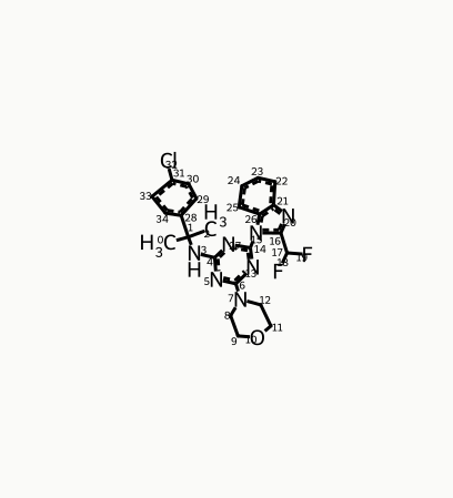 CC(C)(Nc1nc(N2CCOCC2)nc(-n2c(C(F)F)nc3ccccc32)n1)c1ccc(Cl)cc1